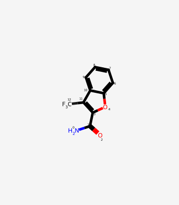 NC(=O)c1oc2ccccc2c1C(F)(F)F